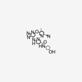 Cc1cc(C#N)ncc1Oc1cc(Nc2ccc(C(=O)NC3CCC(O)C3)cn2)c2ncn(C)c2n1